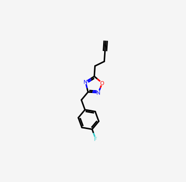 C#CCCc1nc(Cc2ccc(F)cc2)no1